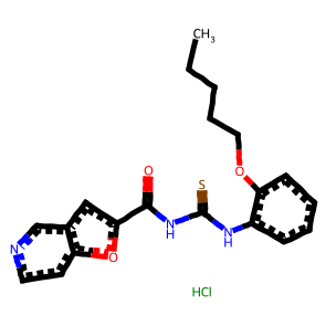 CCCCCOc1ccccc1NC(=S)NC(=O)c1cc2cnccc2o1.Cl